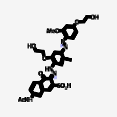 COc1cc(OCCO)ccc1/N=N/c1cc(OCCO)c(N/N=C2\C(=O)c3ccc(NC(C)=O)cc3C=C2S(=O)(=O)O)cc1C